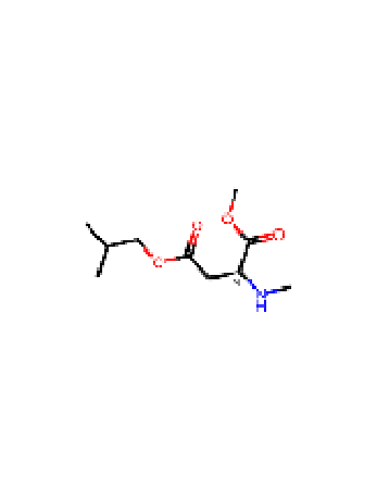 CN[C@@H](CC(=O)OCC(C)C)C(=O)OC